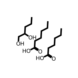 CCCC(O)CO.CCCCCC(=O)O.CCCCCC(=O)O